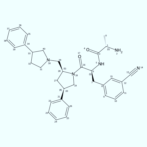 C[C@H](N)C(=O)N[C@@H](Cc1cccc(C#N)c1)C(=O)N1C[C@@H](c2ccccc2)C[C@H]1CN1CCC(c2ccccc2)C1